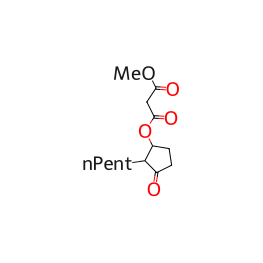 CCCCCC1C(=O)CCC1OC(=O)CC(=O)OC